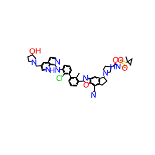 Cc1c(-c2nc3cc4c(c(C#N)c3o2)CC[C@H]4N2CC[C@@H](C(=O)NS(=O)(=O)C3(C)CC3)C2)cccc1-c1cccc(Nc2nccc3cc(CN4CC[C@@H](O)C4)cnc23)c1Cl